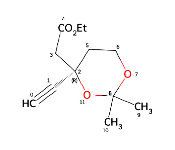 C#C[C@]1(CC(=O)OCC)CCOC(C)(C)O1